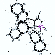 CC1=C(c2ccc3ccccc3c2)[B-](c2ccc3ccccc3c2)(c2ccc3ccccc3c2)[P+](C)(C)C1